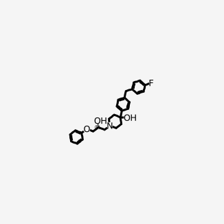 O[C@@H](COc1ccccc1)CN1CCC(O)(c2ccc(Cc3ccc(F)cc3)cc2)CC1